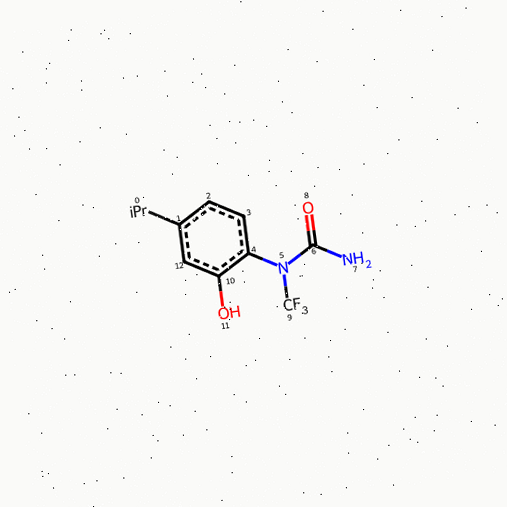 CC(C)c1ccc(N(C(N)=O)C(F)(F)F)c(O)c1